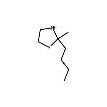 CCCCC1(C)NCCS1